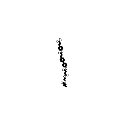 CCC(C)(C)C(=O)OCCOC(=O)CCC(=O)Oc1ccc(-c2ccc(CCC(=O)Oc3ccc(/C=C/C(=O)OC)cc3)cc2)cc1